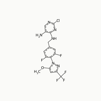 COc1cc(C(F)(F)F)nn1-c1c(F)cc(CNc2nc(Cl)ncc2N)cc1F